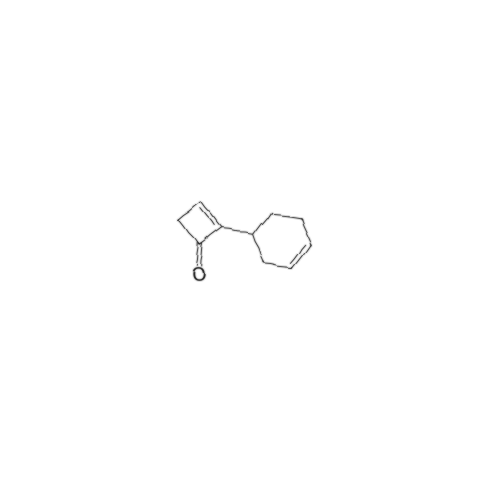 O=C1CC=C1C1CC=CCC1